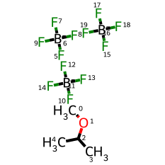 COC(C)C.F[B-](F)(F)F.F[B-](F)(F)F.F[B-](F)(F)F